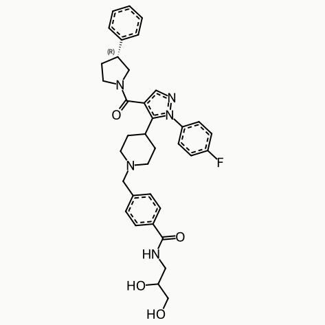 O=C(NCC(O)CO)c1ccc(CN2CCC(c3c(C(=O)N4CC[C@H](c5ccccc5)C4)cnn3-c3ccc(F)cc3)CC2)cc1